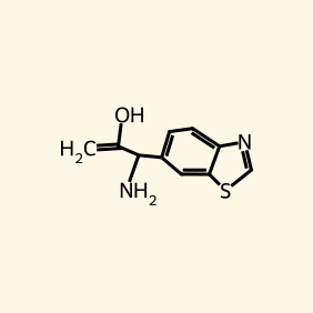 C=C(O)C(N)c1ccc2ncsc2c1